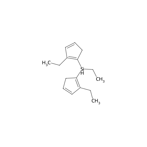 CCC1=C([SiH](CC)C2=C(CC)C=CC2)CC=C1